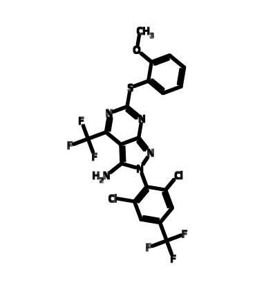 COc1ccccc1Sc1nc(C(F)(F)F)c2c(N)n(-c3c(Cl)cc(C(F)(F)F)cc3Cl)nc2n1